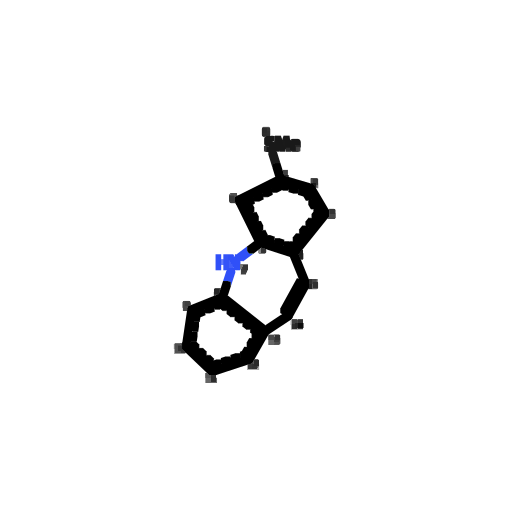 CSc1ccc2c(c1)Nc1ccccc1C=C2